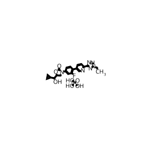 CCn1nnc(-c2ccc(-c3ccc(N4CC(C(O)C5CC5)OC4=O)cc3F)cn2)n1.O=P(O)(O)O